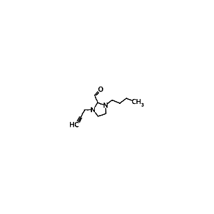 C#CCN1CCN(CCCC)C1C=O